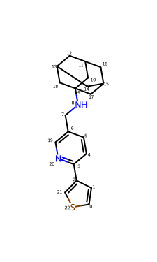 c1cc(-c2ccc(CNC34CC5CC(CC(C5)C3)C4)cn2)cs1